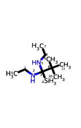 CCNC([SiH3])(NCC)C(C)(C)C